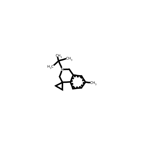 Cc1ccc2c(c1)CN(C(C)(C)C)CC21CC1